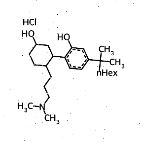 CCCCCCC(C)(C)c1ccc(C2CC(O)CCC2CCCN(C)C)c(O)c1.Cl